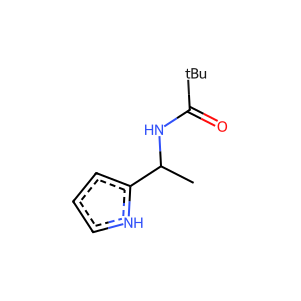 CC(NC(=O)C(C)(C)C)c1ccc[nH]1